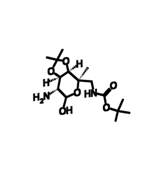 CC(C)(C)OC(=O)NC[C@@]1(C)OC(O)[C@H](N)[C@H]2OC(C)(C)O[C@H]21